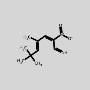 CC(=CC(C)(C)C)/C=C(\C=N)[N+](=O)[O-]